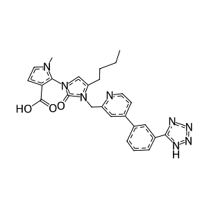 CCCCc1cn(-c2c(C(=O)O)ccn2C)c(=O)n1Cc1cc(-c2cccc(-c3nnn[nH]3)c2)ccn1